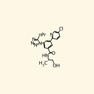 CCCc1nnnn1-c1cc(C(=O)N[C@@H](C)CO)cc(-c2ccc(Cl)cn2)c1